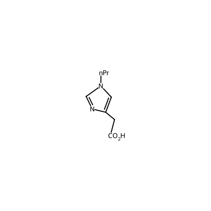 CCCn1cnc(CC(=O)O)c1